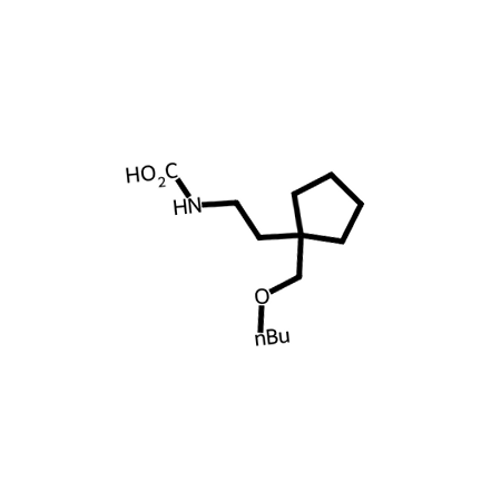 CCCCOCC1(CCNC(=O)O)CCCC1